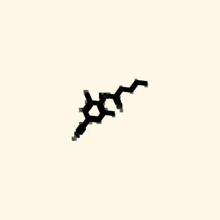 CCCCC(=O)Nc1c(C)cc(C#N)cc1C